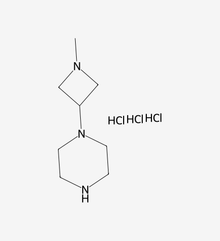 CN1CC(N2CCNCC2)C1.Cl.Cl.Cl